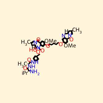 COc1cc2c(cc1OCCCCCOc1cc3c(cc1OC)C(=O)N1C=C(C)C[C@H]1[C@H](O)N3C(=O)OCc1ccc(NC(=O)[C@@H](C)NC(=O)[C@H](N)C(C)C)cc1)N=C[C@@H]1CC(C)=CN1C2=O